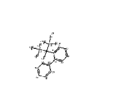 FC(F)(F)C(F)(c1ccccc1-c1ccccc1)C(F)(F)F